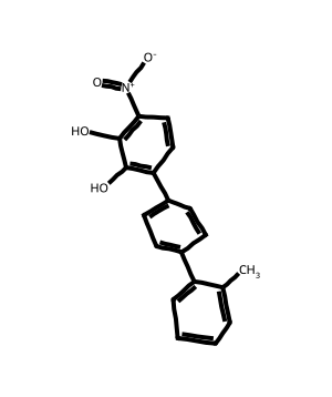 Cc1ccccc1-c1ccc(-c2ccc([N+](=O)[O-])c(O)c2O)cc1